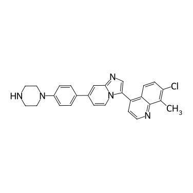 Cc1c(Cl)ccc2c(-c3cnc4cc(-c5ccc(N6CCNCC6)cc5)ccn34)ccnc12